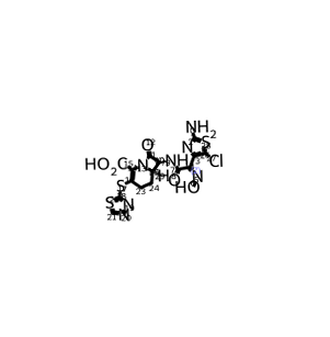 Nc1nc(/C(=N/O)C(=O)N[C@@H]2C(=O)N3C(C(=O)O)=C(Sc4nncs4)CC[C@H]23)c(Cl)s1